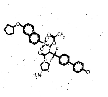 N[C@H]1CCN(C(=O)[C@H](N(OC(=O)C(F)(F)F)S(=O)(=O)c2ccc3cc(OC4CCCC4)ccc3c2)C(F)(F)c2ccc(-c3ccc(Cl)cc3)cc2)C1